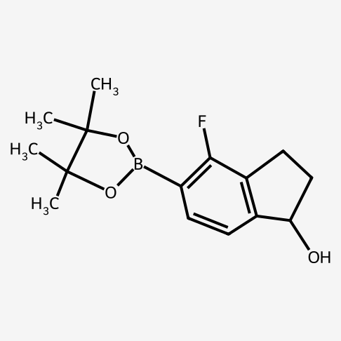 CC1(C)OB(c2ccc3c(c2F)CCC3O)OC1(C)C